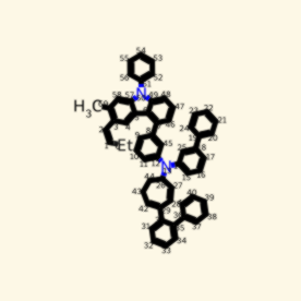 CC/C=C\c1cc2c3c(-c4cccc(N(c5cccc(-c6ccccc6)c5)C5C=CC(c6ccccc6-c6ccccc6)=CCC5)c4)cccc3n(-c3ccccc3)c2cc1C